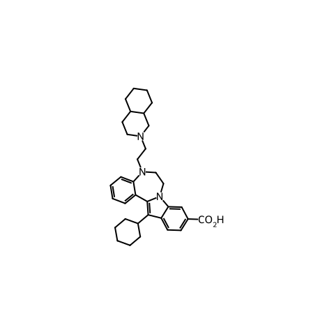 O=C(O)c1ccc2c(C3CCCCC3)c3n(c2c1)CCN(CCN1CCC2CCCCC2C1)c1ccccc1-3